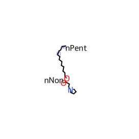 CCCCC/C=C\C/C=C\CCCCCCCCOC(CCN1CCCC1)OCCCCCCCCC